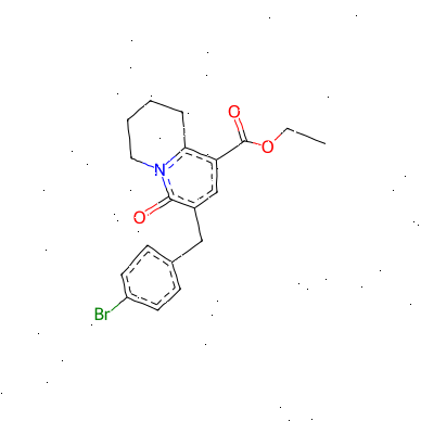 CCOC(=O)c1cc(Cc2ccc(Br)cc2)c(=O)n2c1CCCC2